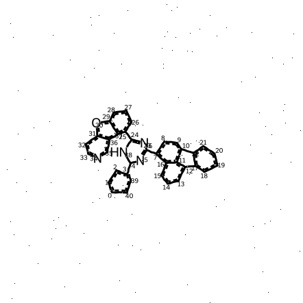 c1ccc(C2N=C(c3ccc4c5c(cccc35)-c3ccccc3-4)N=C(c3cccc4oc5ccncc5c34)N2)cc1